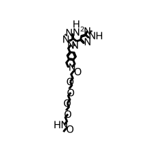 CC(=O)NCCOCCOCCOCCOCCC(=O)N1CCc2cc(Cn3nc(-c4cnc5[nH]cnc5c4)c4c(N)ncnc43)ccc2C1